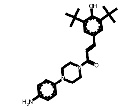 CC(C)(C)c1cc(C=CC(=O)N2CCN(c3ccc(N)cc3)CC2)cc(C(C)(C)C)c1O